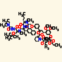 C=CC(=O)OCC(C)(C)C(=O)C(=O)N1CCCC[C@H]1C(=O)O[C@H](CCc1cc(OC)cc(OC)c1OC)c1cccc(OCC(=O)N(C)[C@@H](CCCC)C(=O)N[C@@H](Cc2ccc3ccccc3c2)C(=O)N(C)[C@@H](COC(C)(C)C)C(=O)NCC(=O)N(C)CC)c1